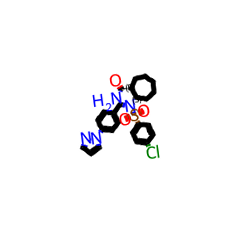 NC(=O)[C@@H]1CCCCC[C@@H]1N(Cc1ccc(-n2cccn2)cc1)S(=O)(=O)c1ccc(Cl)cc1